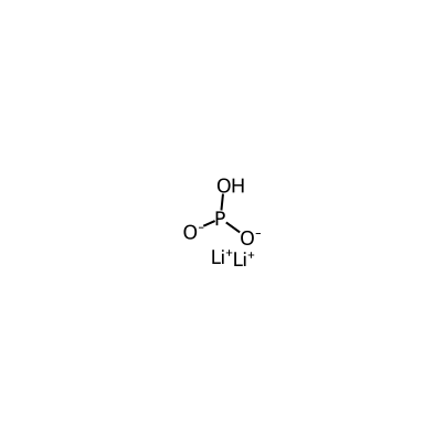 [Li+].[Li+].[O-]P([O-])O